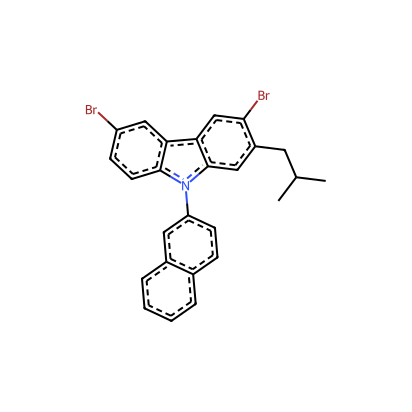 CC(C)Cc1cc2c(cc1Br)c1cc(Br)ccc1n2-c1ccc2ccccc2c1